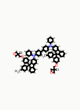 CCC1(COc2ccc(C3(c4ccc(C)cc4)c4ccccc4-c4ccc(N(c5ccccc5)c5ccc(-c6ccc(N(c7ccccc7)c7ccc8c(c7)C(c7ccc(C)cc7)(c7ccc(OCC9(CC)COC9)cc7)c7ccccc7-8)cc6)cc5)cc43)cc2)COC1